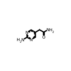 NC(=O)[CH]c1cnc(N)nc1